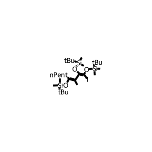 CCCCC/C(O[Si](C)(C)C(C)(C)C)=C(C)\C(O[Si](C)(C)C(C)(C)C)=C(/I)O[Si](C)(C)C(C)(C)C